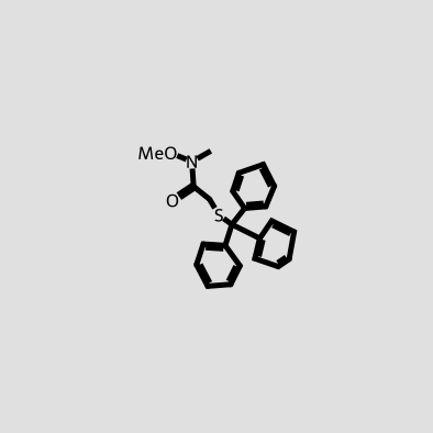 CON(C)C(=O)CSC(c1ccccc1)(c1ccccc1)c1ccccc1